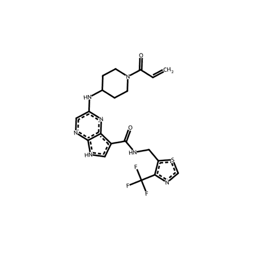 C=CC(=O)N1CCC(Nc2cnc3[nH]cc(C(=O)NCc4scnc4C(F)(F)F)c3n2)CC1